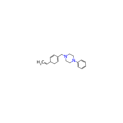 C=CC1C=CC(CN2CCN(c3ccccc3)CC2)=CC1